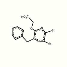 CCc1nc(Cc2ccccc2)c(OCC(=O)O)nc1CC